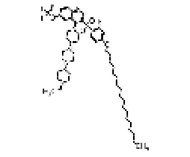 CCCCCCCCCCCCCCCCCCOc1ccc(S(=O)(=O)c2cnc3ccc(OC(F)(F)F)cc3c2N2CCC(N3CCN(C4CCN(CC)CC4)CC3)CC2)c(F)c1